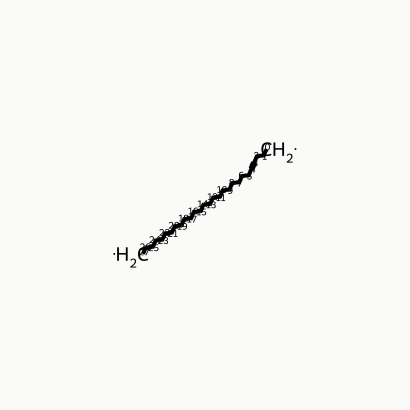 [CH2]CCC#CCCCCCCCCCCCCCCCCCCCCCC[CH2]